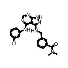 CN(C)C(=O)c1cccc(CNc2n[nH]c3ncnc(Nc4cccc(Cl)c4)c23)c1